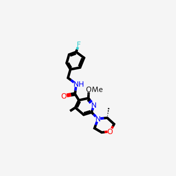 COc1nc(N2CCOC[C@H]2C)cc(C)c1C(=O)NCc1ccc(F)cc1